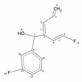 C=C/C=C(\C=C\F)C(O)c1cccc(F)c1